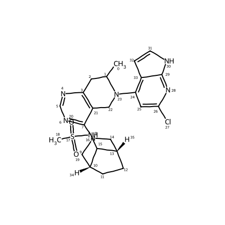 CC1Cc2ncnc(N3C[C@H]4CC[C@@H](C3)C4NS(C)(=O)=O)c2CN1c1cc(Cl)nc2[nH]ccc12